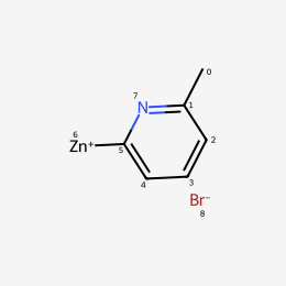 Cc1ccc[c]([Zn+])n1.[Br-]